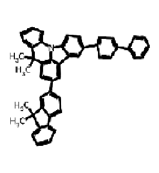 CC1(C)c2ccccc2-c2ccc(-c3cc4c5c(c3)c3cc(-c6ccc(-c7ccccc7)cc6)ccc3n5-c3ccccc3C4(C)C)cc21